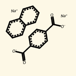 O=C([O-])c1ccc(C(=O)[O-])cc1.[Na+].[Na+].c1ccc2ccccc2c1